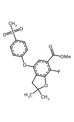 COC(=O)c1cc(Oc2ccc(S(C)(=O)=O)cc2)c2c(c1F)OC(C)(C)C2